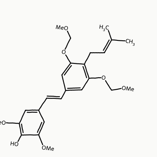 COCOc1cc(C=Cc2cc(OC)c(O)c(OC)c2)cc(OCOC)c1CC=C(C)C